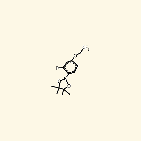 CC1(C)OB(c2ccc(OCC(F)(F)F)cc2F)OC1(C)C